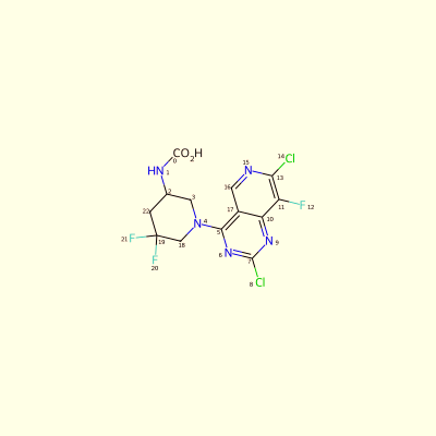 O=C(O)NC1CN(c2nc(Cl)nc3c(F)c(Cl)ncc23)CC(F)(F)C1